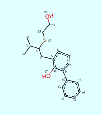 CC(C)C(Cc1cccc(-c2ccccc2)c1O)SCCO